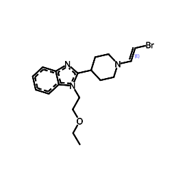 CCOCCn1c(C2CCN(/C=C/Br)CC2)nc2ccccc21